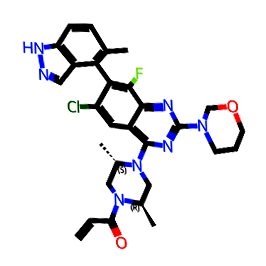 C=CC(=O)N1C[C@H](C)N(c2nc(N3CCCOC3)nc3c(F)c(-c4c(C)ccc5[nH]ncc45)c(Cl)cc23)C[C@H]1C